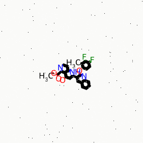 COC(=O)c1nccc2[nH]c(-c3cc4ccccc4nc3Oc3ccc(F)c(F)c3C)cc(=O)c12